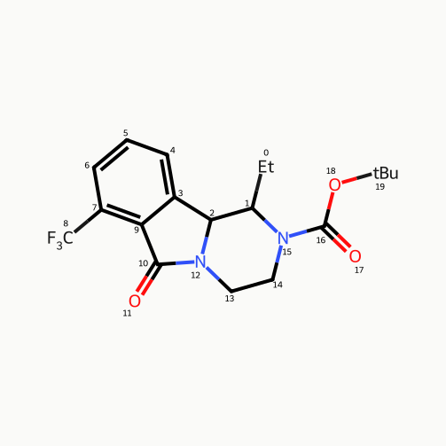 CCC1C2c3cccc(C(F)(F)F)c3C(=O)N2CCN1C(=O)OC(C)(C)C